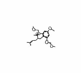 COCOc1cc(OC)cc(OCOC)c1CC(CC=C(C)C)C(C)=O